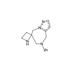 CC(C)N1Cc2ccnn2CC2(CCN2)C1